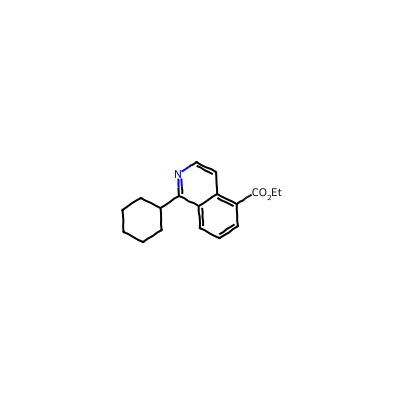 CCOC(=O)c1cccc2c(C3CCCCC3)nccc12